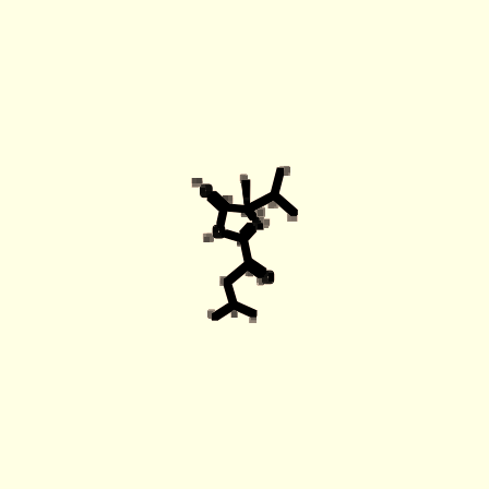 CC(C)CC(=O)C1=N[C@@](C)(C(C)C)C(=O)O1